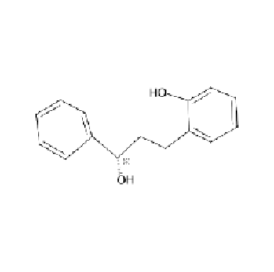 Oc1ccccc1CC[C@H](O)c1ccccc1